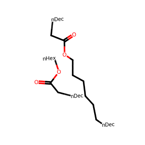 CCCCCCCCCCCC(=O)OCCCCCC.CCCCCCCCCCCCCCCCOC(=O)CCCCCCCCCCC